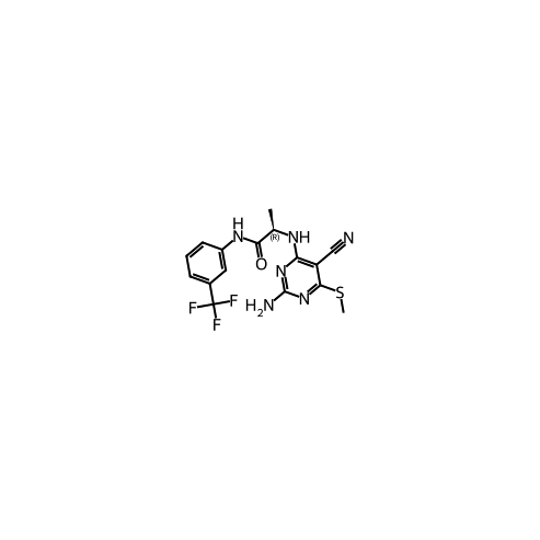 CSc1nc(N)nc(N[C@H](C)C(=O)Nc2cccc(C(F)(F)F)c2)c1C#N